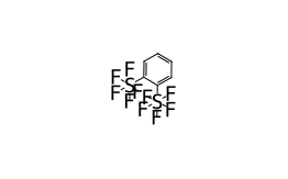 FS(F)(F)(F)(F)c1ccccc1S(F)(F)(F)(F)F